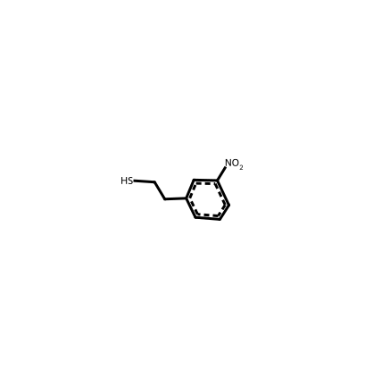 O=[N+]([O-])c1cccc(CCS)c1